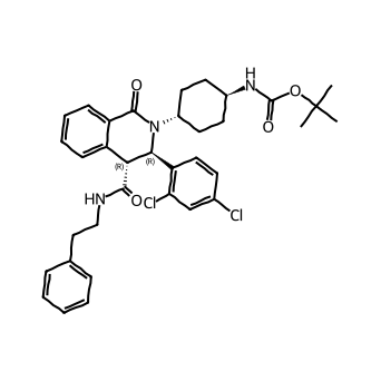 CC(C)(C)OC(=O)N[C@H]1CC[C@H](N2C(=O)c3ccccc3[C@@H](C(=O)NCCc3ccccc3)[C@@H]2c2ccc(Cl)cc2Cl)CC1